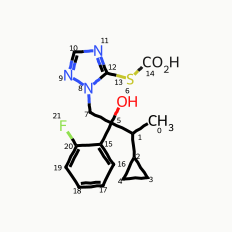 CC(C1CC1)C(O)(Cn1ncnc1SC(=O)O)c1ccccc1F